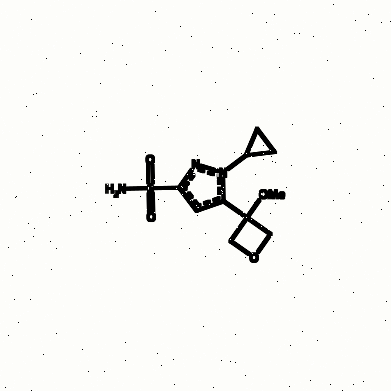 COC1(c2cc(S(N)(=O)=O)nn2C2CC2)COC1